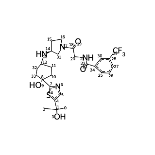 CC(C)(O)c1cnc(C2(O)CCC(N[C@H]3CCN(C(=O)CNC(=O)c4cccc(C(F)(F)F)c4)C3)CC2)s1